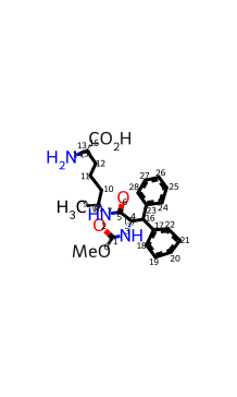 COC(=O)N[C@H](C(=O)N[C@@H](C)CCC[C@H](N)C(=O)O)C(c1ccccc1)c1ccccc1